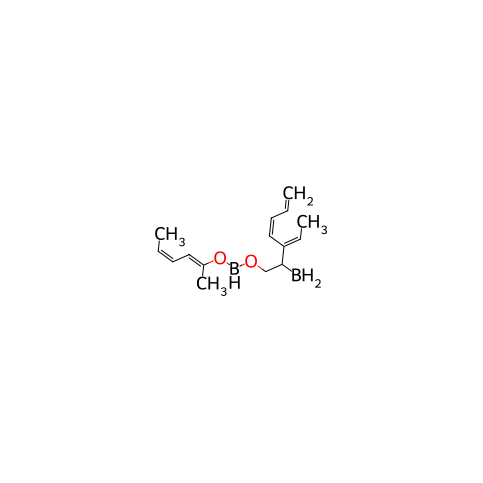 BC(COBO/C(C)=C/C=C\C)C(/C=C\C=C)=C/C